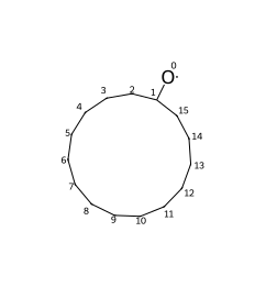 [O]C1CCCCCCCCCCCCCC1